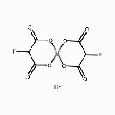 O=C1O[B-]2(OC(=O)C1F)OC(=O)C(F)C(=O)O2.[Li+]